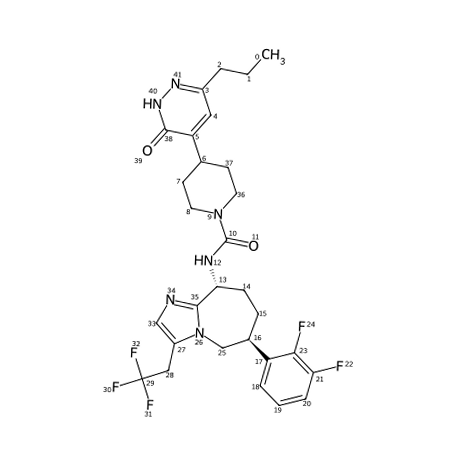 CCCc1cc(C2CCN(C(=O)N[C@@H]3CC[C@@H](c4cccc(F)c4F)Cn4c(CC(F)(F)F)cnc43)CC2)c(=O)[nH]n1